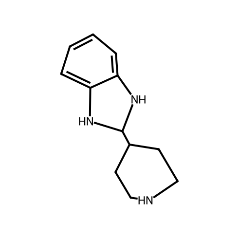 c1ccc2c(c1)NC(C1CCNCC1)N2